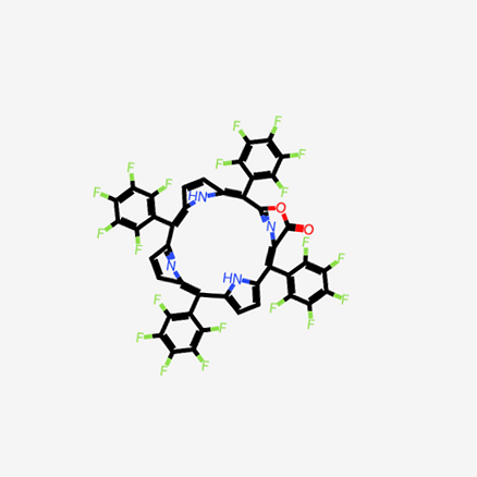 O=C1Oc2nc1c(-c1c(F)c(F)c(F)c(F)c1F)c1ccc([nH]1)c(-c1c(F)c(F)c(F)c(F)c1F)c1nc(c(-c3c(F)c(F)c(F)c(F)c3F)c3ccc([nH]3)c2-c2c(F)c(F)c(F)c(F)c2F)C=C1